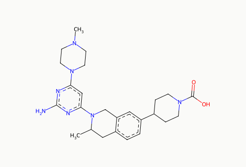 CC1Cc2ccc(C3CCN(C(=O)O)CC3)cc2CN1c1cc(N2CCN(C)CC2)nc(N)n1